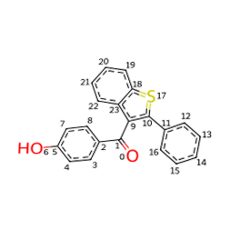 O=C(c1ccc(O)cc1)c1c(-c2ccccc2)sc2ccccc12